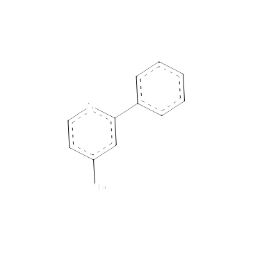 CCCCc1ccnc(-c2ccccc2)c1